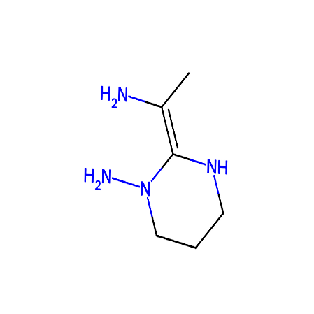 C/C(N)=C1\NCCCN1N